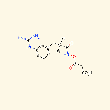 CCC(CC)(Cc1cccc(NC(=N)N)c1)C(=O)NOC(=O)CC(=O)O